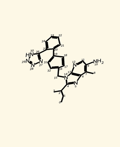 CCC(C)c1nc2c(C)c(N)cnc2n1Cc1ccc(-c2ccccc2-c2nnn[nH]2)cc1